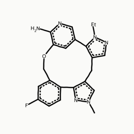 CCn1ncc2c1-c1cnc(N)c(c1)OCc1cc(F)ccc1-c1nn(C)cc1C2